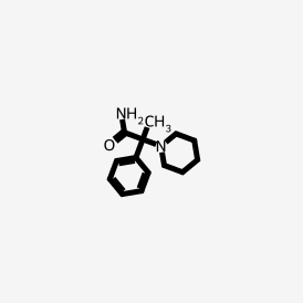 CC(C(N)=O)(c1ccccc1)N1CCCCC1